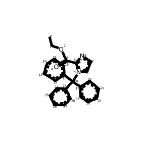 CCOC(=O)c1nccn1C(c1ccccc1)(c1ccccc1)c1ccccc1